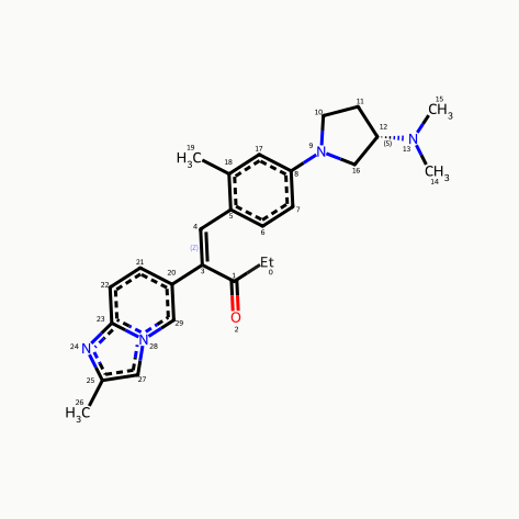 CCC(=O)/C(=C\c1ccc(N2CC[C@H](N(C)C)C2)cc1C)c1ccc2nc(C)cn2c1